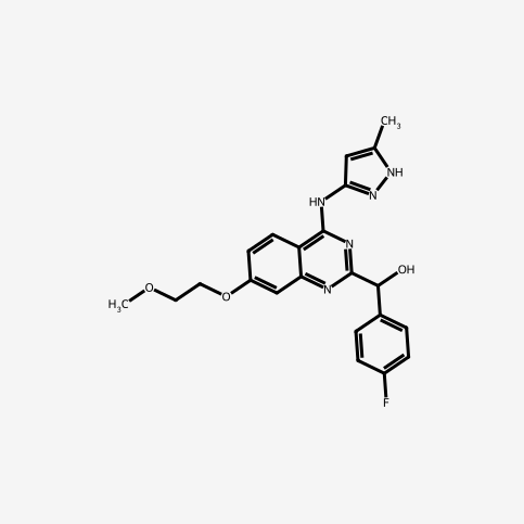 COCCOc1ccc2c(Nc3cc(C)[nH]n3)nc(C(O)c3ccc(F)cc3)nc2c1